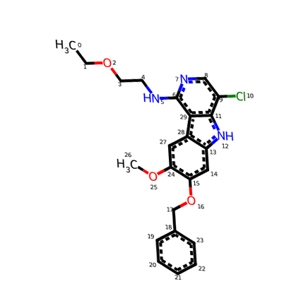 CCOCCNc1ncc(Cl)c2[nH]c3cc(OCc4ccccc4)c(OC)cc3c12